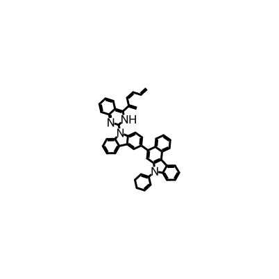 C=C/C=C\C(=C)C1=c2ccccc2=NC(n2c3ccccc3c3cc(-c4cc5c(c6ccccc46)c4ccccc4n5C4=CCCC=C4)ccc32)N1